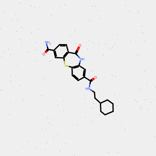 NC(=O)c1ccc2c(c1)Sc1ccc(C(=O)NCCC3CCCCC3)cc1NC2=O